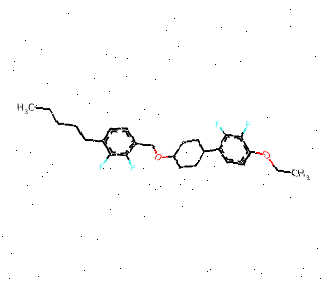 CCCCCc1ccc(COC2CCC(c3ccc(OCC)c(F)c3F)CC2)c(F)c1F